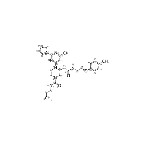 CCCNC(=O)N1CCN(c2cc(Cl)nc(-n3ccnc3)n2)C(CC(=O)NCCOc2ccc(C)cc2)C1